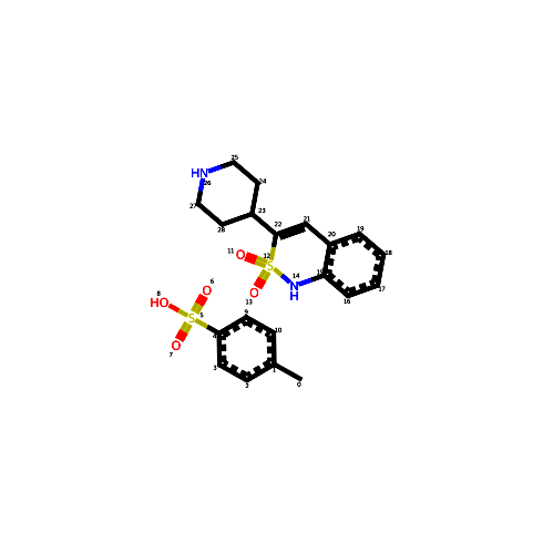 Cc1ccc(S(=O)(=O)O)cc1.O=S1(=O)Nc2ccccc2C=C1C1CCNCC1